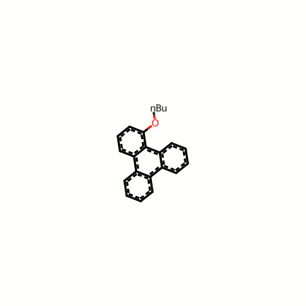 CCCCOc1cccc2c3ccccc3c3ccccc3c12